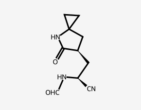 N#C[C@H](C[C@@H]1CC2(CC2)NC1=O)NC=O